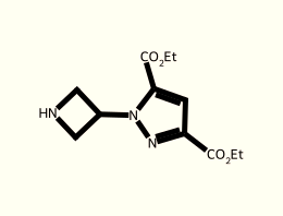 CCOC(=O)c1cc(C(=O)OCC)n(C2CNC2)n1